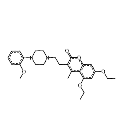 CCOc1cc(OCC)c2c(C)c(CCN3CCN(c4ccccc4OC)CC3)c(=O)oc2c1